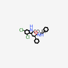 CCOC(=O)c1[nH]c2cc(Cl)cc(Cl)c2c1/C=C(\C(=O)NCCc1ccccc1)c1ccccc1